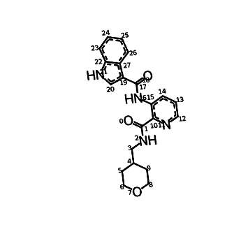 O=C(NCC1CCOCC1)c1ncccc1NC(=O)c1c[nH]c2ccccc12